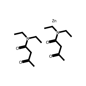 CCN(CC)C(=O)CC(C)=O.CCN(CC)C(=O)CC(C)=O.[Zn]